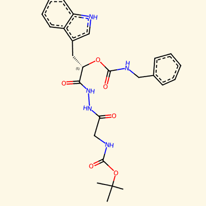 CC(C)(C)OC(=O)NCC(=O)NNC(=O)[C@H](Cc1c[nH]c2ccccc12)OC(=O)NCc1ccccc1